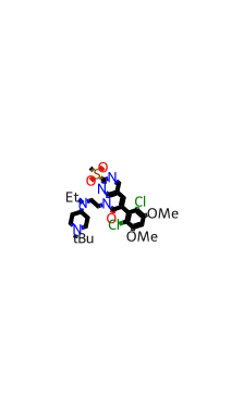 CCN(CCn1c(=O)c(-c2c(Cl)c(OC)cc(OC)c2Cl)cc2cnc(S(C)(=O)=O)nc21)C1CCN(C(C)(C)C)CC1